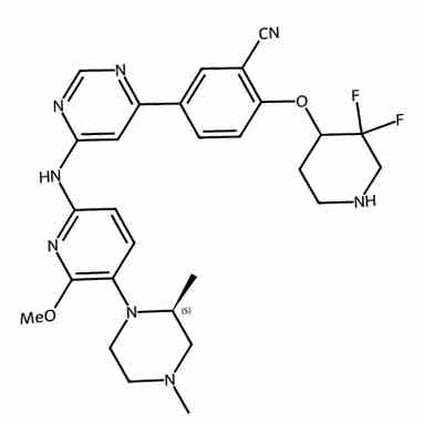 COc1nc(Nc2cc(-c3ccc(OC4CCNCC4(F)F)c(C#N)c3)ncn2)ccc1N1CCN(C)C[C@@H]1C